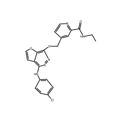 CCNC(=O)c1cc(COc2nnc(Nc3ccc(Cl)cc3)c3ccoc23)ccn1